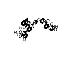 Cn1cc(-c2ccc3nc(N4CC(OC5CCN(C(=O)c6cccc(-n7ccc(=O)[nH]c7=O)c6)CC5)C4)nc(C(CO)(OC4CC4)c4ccccc4)c3c2)c2cc[nH]c2c1=O